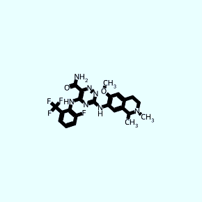 COc1cc2c(cc1Nc1nnc(C(N)=O)c(Nc3c(F)cccc3C(F)(F)F)n1)C(C)N(C)CC2